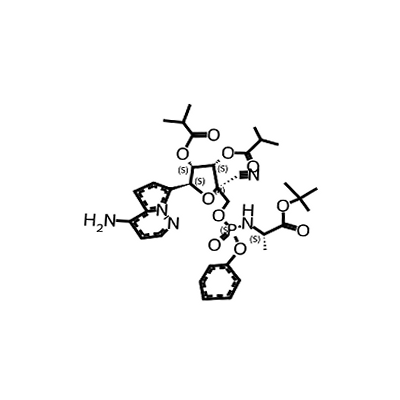 CC(C)C(=O)O[C@H]1[C@H](c2ccc3c(N)ccnn23)O[C@](C#N)(CO[P@@](=O)(N[C@@H](C)C(=O)OC(C)(C)C)Oc2ccccc2)[C@H]1OC(=O)C(C)C